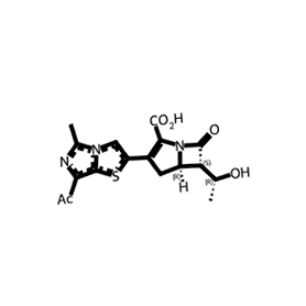 CC(=O)c1nc(C)n2cc(C3=C(C(=O)O)N4C(=O)[C@H]([C@@H](C)O)[C@H]4C3)sc12